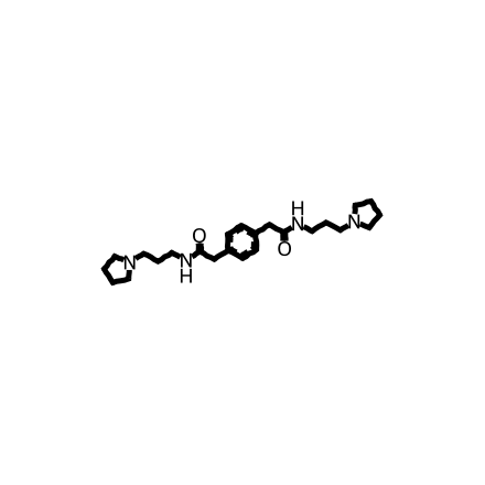 O=C(Cc1ccc(CC(=O)NCCCN2CCCC2)cc1)NCCCN1CCCC1